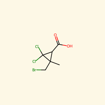 CC1(CBr)C(C(=O)O)C1(Cl)Cl